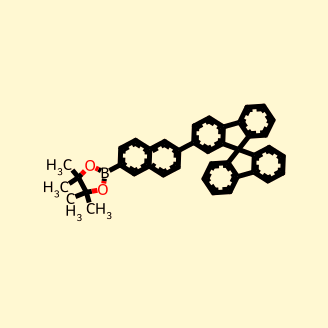 CC1(C)OB(c2ccc3cc(-c4ccc5c(c4)C4(c6ccccc6-c6ccccc64)c4ccccc4-5)ccc3c2)OC1(C)C